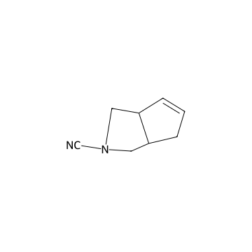 N#CN1CC2C=CCC2C1